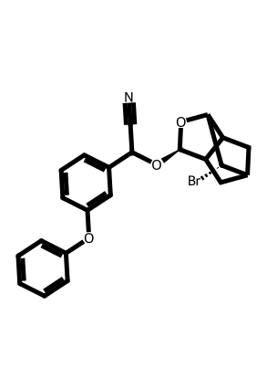 N#C[C](O[C@H]1OC2C3CC(CC31)[C@@H]2Br)c1cccc(Oc2ccccc2)c1